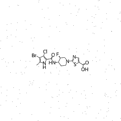 Cc1[nH]c(C(=O)N[C@@H]2CCN(c3ncc(C(=O)O)s3)C[C@@H]2F)c(Cl)c1Br